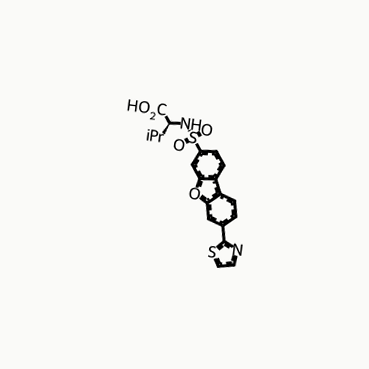 CC(C)[C@H](NS(=O)(=O)c1ccc2c(c1)oc1cc(-c3nccs3)ccc12)C(=O)O